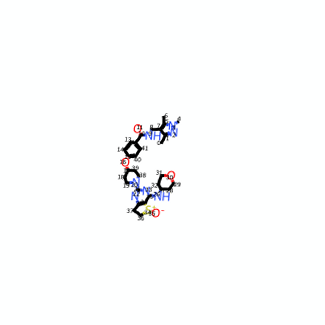 Cc1nn(C)c(C)c1CNC(=O)c1ccc(OC2CCN(c3nc4c(c(NC5CCOCC5)n3)[S+]([O-])CC4)CC2)cc1